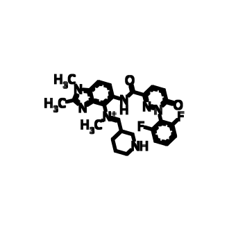 Cc1nc2c(/[N+](C)=C/C3CCCNC3)c(NC(=O)c3ccc(=O)n(-c4c(F)cccc4F)n3)ccc2n1C